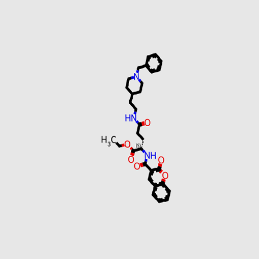 CCOC(=O)[C@H](CCC(=O)NCCC1CCN(Cc2ccccc2)CC1)NC(=O)c1cc2ccccc2oc1=O